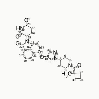 CC1(C(=O)N2CCC(n3cc(Oc4ccc5c6c(cccc46)C(=O)N5C4CCC(=O)NC4=O)cn3)CC2)CCC1